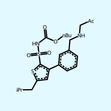 CCCCOC(=O)NS(=O)(=O)c1sc(CC(C)C)cc1-c1cccc(CNCC(C)=O)c1